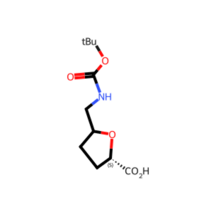 CC(C)(C)OC(=O)NCC1CC[C@@H](C(=O)O)O1